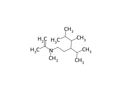 C=C(C)N(C)CCC(C(C)C)C(C)C(C)C